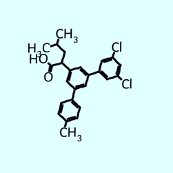 Cc1ccc(-c2cc(-c3cc(Cl)cc(Cl)c3)cc(C(CC(C)C)C(=O)O)c2)cc1